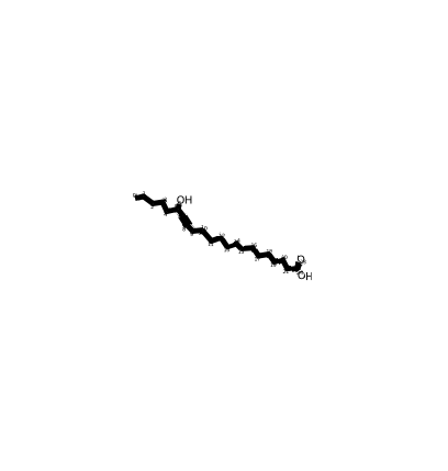 CCCCCC(O)C#CCCCCCCCCCCCCCC(=O)O